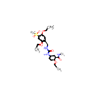 CCOc1cc(S(C)(=O)=O)c(OCC)cc1CNC(=O)Nc1ccc(OCC)c(C(=O)NC)c1